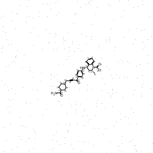 CCC(=O)N1c2ccccc2[C@H](Nc2ccc(C(=O)C#CCC3CCC(C(N)=O)CC3)cc2)C[C@@H]1C